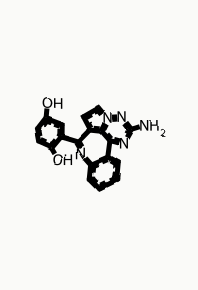 Nc1nc2c3c(ccn3n1)C(c1cc(O)ccc1O)=Nc1ccccc1-2